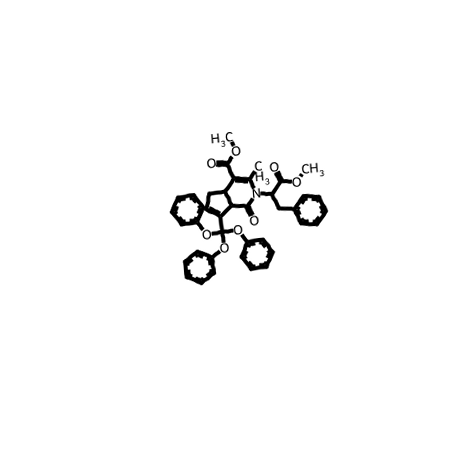 COC(=O)C1=C(C)N(C(Cc2ccccc2)C(=O)OC)C(=O)C2C(C(Oc3ccccc3)(Oc3ccccc3)Oc3ccccc3)=CCC12